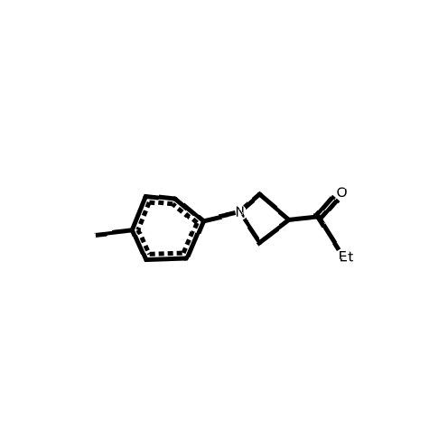 CCC(=O)C1CN(c2ccc(C)cc2)C1